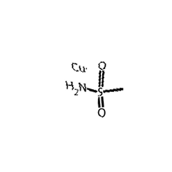 CS(N)(=O)=O.[Cu]